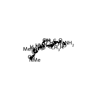 CNC(=O)OCC[C@H](CSC[C@H](N)C(=O)N[C@@H](CCO)C(=O)NCCOC(C)(C)COC(C)(C)CCC(=O)NCC(N)=O)OC(=O)NC